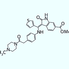 COC(=O)c1ccc2c(c1)NC(=O)C2=C(Nc1ccc(CC(=O)N2CCN(C)CC2)cc1)c1ccsc1